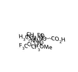 CC[C@@H]1C[C@H](Nc2ncc(N(C)C)c(Cc3cc(C(F)(F)F)cc(C(F)(F)F)c3)n2)c2nc(OC)ccc2N1C(=O)OCCCCC(=O)O